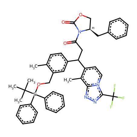 Cc1ccc(C(CC(=O)N2C(=O)OC[C@H]2Cc2ccccc2)c2ccn3c(C(F)(F)F)nnc3c2C)cc1CO[Si](c1ccccc1)(c1ccccc1)C(C)(C)C